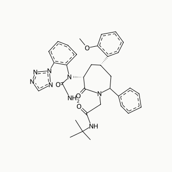 COc1ccccc1[C@@H]1CC(c2ccccc2)N(CC(=O)NC(C)(C)C)C(=O)[C@H](N(C(N)=O)c2ccccc2-n2ncnn2)C1